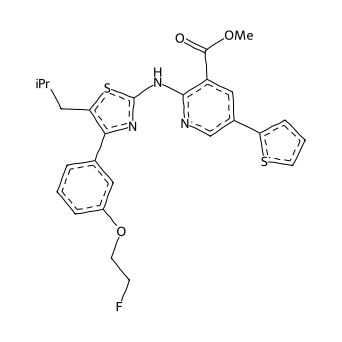 COC(=O)c1cc(-c2cccs2)cnc1Nc1nc(-c2cccc(OCCF)c2)c(CC(C)C)s1